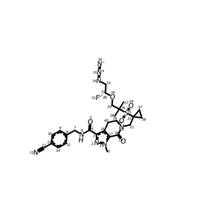 Cn1nc(C(=O)NCc2ccc(C#N)cc2)c2c1C(=O)N(CC1(S(=O)(=O)C(C)(C)CO[C@H](F)CN=[N+]=[N-])CC1)CC2